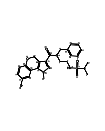 CC(C)S(=O)(=O)NCCN(Cc1ccccc1)C(=O)c1nn(C)c2c1COc1ccc(Br)cc1-2